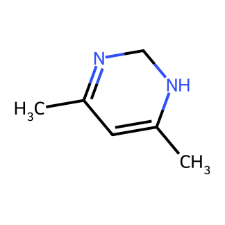 CC1=CC(C)=NCN1